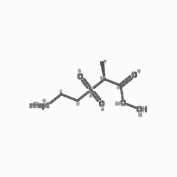 CCCCCCCCCS(=O)(=O)[C@@H](C)C(=O)OO